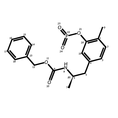 Cc1ccc(C[C@@H](C)NC(=O)OCc2ccccc2)cc1OP(=O)=O